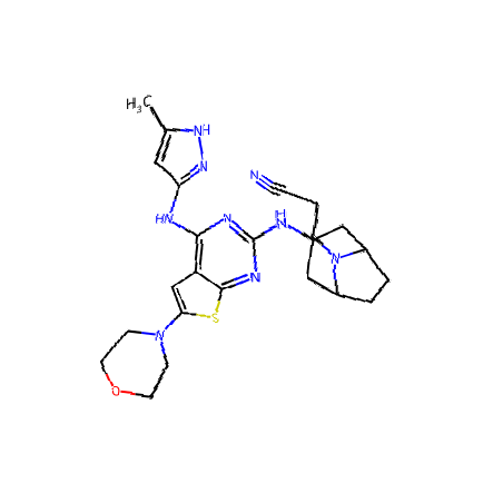 Cc1cc(Nc2nc(NC3CC4CCC(C3)N4CCC#N)nc3sc(N4CCOCC4)cc23)n[nH]1